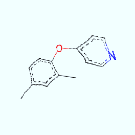 Cc1ccc(Oc2ccncc2)c(C)c1